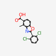 Cc1c(C(=O)O)ccc2oc(-c3c(Cl)cccc3Cl)nc12